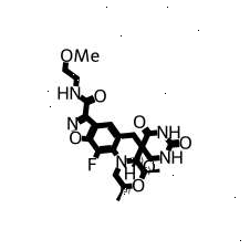 COCCNC(=O)c1noc2c(F)c3c(cc12)CC1(C(=O)NC(=O)NC1=O)[C@@H]1[C@@H](C)O[C@@H](C)CN31